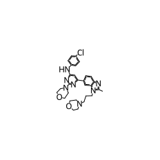 Cc1nc2ccc(-c3cc(Nc4ccc(Cl)cc4)nc(N4CCOCC4)n3)cc2n1CCCN1CCOCC1